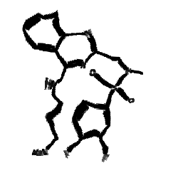 CNCCCNc1nc(CN(C)S(=O)(=O)c2ccc(F)c(F)c2)nc2ccccc12